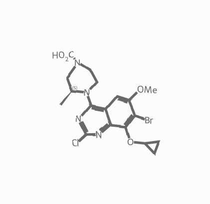 COc1cc2c(N3CCN(C(=O)O)C[C@@H]3C)nc(Cl)nc2c(OC2CC2)c1Br